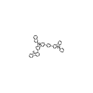 c1ccc(-n2c3ccccc3c3cc(-c4ccc(-c5ccc6c(c5)c5cc(-c7cccc8c7sc7ccccc78)ccc5n6-c5ccc6ccccc6c5)cc4)ccc32)cc1